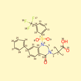 CC(C)(CN1CN(S(=O)(=O)c2cccc(C(F)(F)F)c2)c2cc(-c3ccccc3)ccc2C1=O)C(=O)O